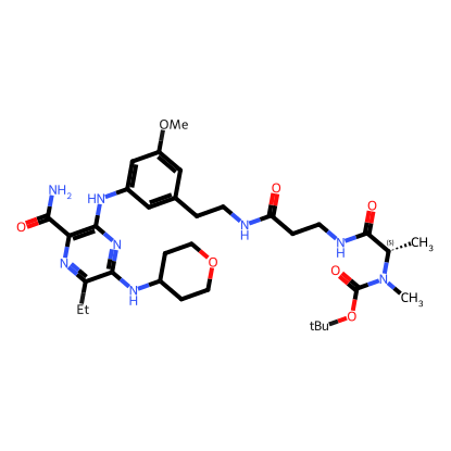 CCc1nc(C(N)=O)c(Nc2cc(CCNC(=O)CCNC(=O)[C@H](C)N(C)C(=O)OC(C)(C)C)cc(OC)c2)nc1NC1CCOCC1